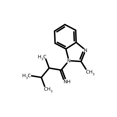 Cc1nc2ccccc2n1C(=N)C(C)C(C)C